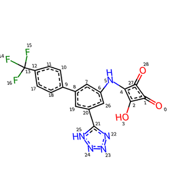 O=c1c(O)c(Nc2cc(-c3ccc(C(F)(F)F)cc3)cc(-c3nnn[nH]3)c2)c1=O